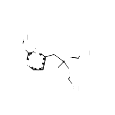 CCOC(Br)(Cc1ccnc(SC)n1)OCC